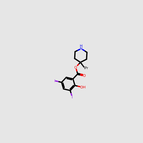 CC(C)C1(OC(=O)c2cc(I)cc(I)c2O)CCNCC1